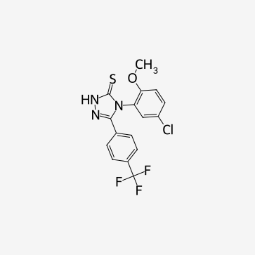 COc1ccc(Cl)cc1-n1c(-c2ccc(C(F)(F)F)cc2)n[nH]c1=S